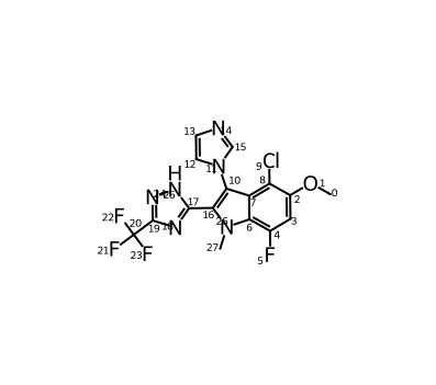 COc1cc(F)c2c(c1Cl)c(-n1ccnc1)c(-c1nc(C(F)(F)F)n[nH]1)n2C